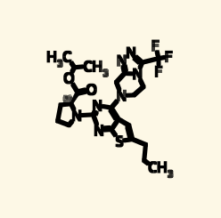 CCCc1cc2c(N3CCn4c(nnc4C(F)(F)F)C3)nc(N3CCC[C@H]3C(=O)OC(C)C)nc2s1